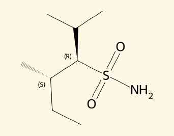 CC[C@H](C)[C@@H](C(C)C)S(N)(=O)=O